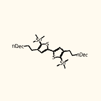 CCCCCCCCCCCCc1cc(-c2cc(CCCCCCCCCCCC)[c]([Sn]([CH3])([CH3])[CH3])s2)s[c]1[Sn]([CH3])([CH3])[CH3]